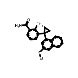 CCSc1cc(C2(c3cccc(C(N)=O)c3C)CC2)c2ccccc2c1